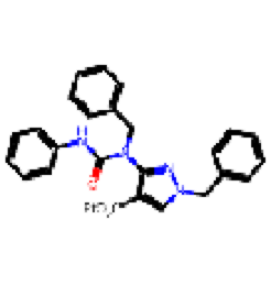 CCOC(=O)c1cn(Cc2ccccc2)nc1N(Cc1ccccc1)C(=O)Nc1ccccc1